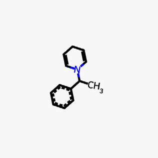 CC(c1ccccc1)N1C=CCC=C1